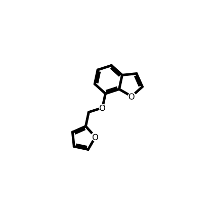 c1coc(COc2cccc3ccoc23)c1